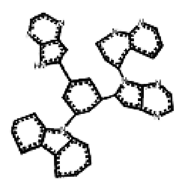 c1cnc2nccc(-n3c(-c4cc(-c5cc6nccnc6[nH]5)cc(-n5c6ccccc6c6ccccc65)c4)cc4nccnc43)c2c1